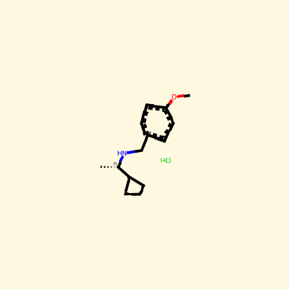 COc1ccc(CN[C@@H](C)C2CCC2)cc1.Cl